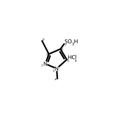 Cc1nn(C)cc1S(=O)(=O)O.Cl